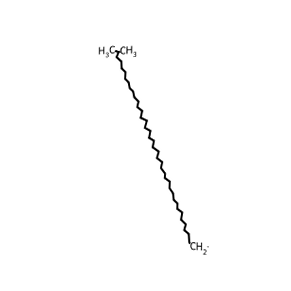 [CH2]CCCCCCCCCCCCCCCCCCCCCCCCCCCCCCCCCCCCCC(C)C